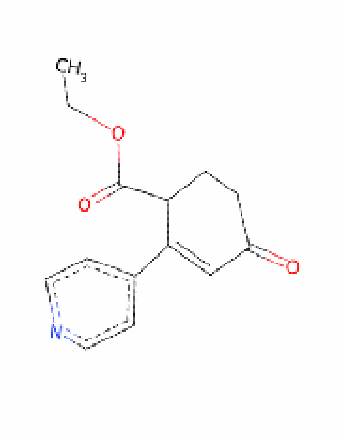 CCOC(=O)C1CCC(=O)C=C1c1ccncc1